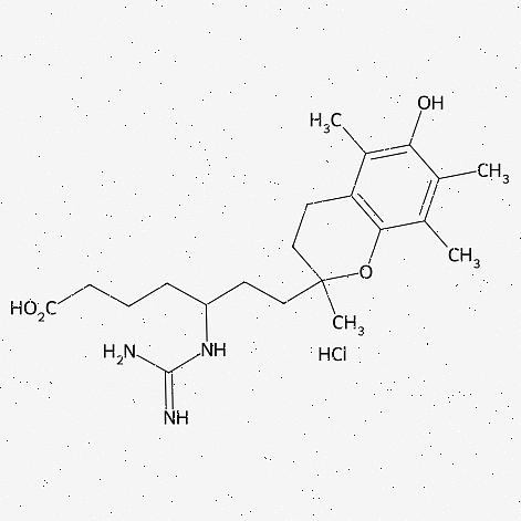 Cc1c(C)c2c(c(C)c1O)CCC(C)(CCC(CCCC(=O)O)NC(=N)N)O2.Cl